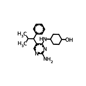 CC(C)C(c1ccccc1)c1cnc(N)nc1NC1CCC(O)CC1